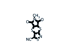 Cn1c(=O)c2sc3nsc(C#N)c3sc=2c1=O